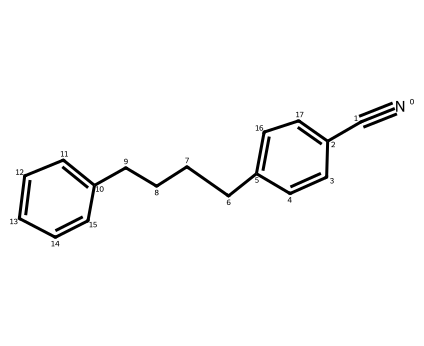 N#Cc1ccc(CCCCc2ccccc2)cc1